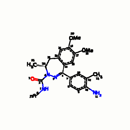 CCCNC(=O)N1N=C(c2ccc(N)c(C)c2)c2cc(OC)c(OC)cc2C[C@H]1C